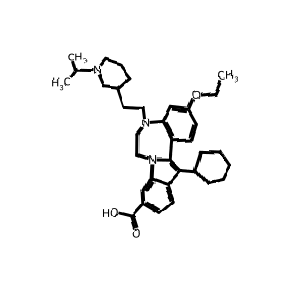 CCOc1ccc2c(c1)N(CCC1CCCN(C(C)C)C1)CCn1c-2c(C2CCCCC2)c2ccc(C(=O)O)cc21